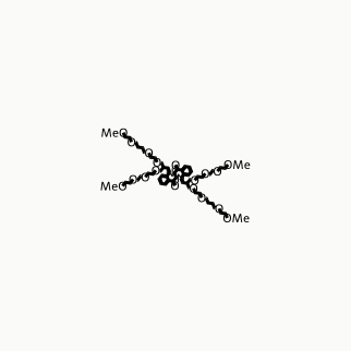 COCCOCCCCOCCOCC(COCCOCCOCCOC)CN1c2ccccc2C(=O)C2C1C(=O)c1ccccc1N2CC(COCCOCCCCOCCOC)COCCOCCOCCOC